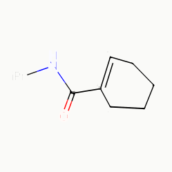 CC(C)NC(=O)C1=CCCCC1